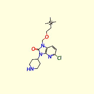 C[Si](C)(C)CCOCn1c(=O)n(C2CCNCC2)c2nc(Cl)ccc21